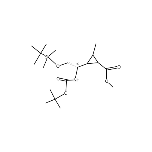 COC(=O)C1C(C)C1[C@@H](CO[Si](C)(C)C(C)(C)C)NC(=O)OC(C)(C)C